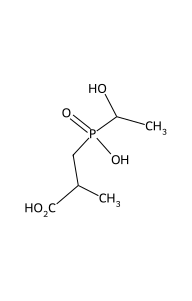 CC(CP(=O)(O)C(C)O)C(=O)O